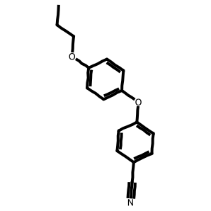 CCCOc1ccc(Oc2ccc(C#N)cc2)cc1